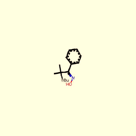 CCCCC(C)(C)C(=NO)c1ccccc1